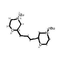 CCCCN1CCOC(CCCC2CN(CCCC)CCO2)C1